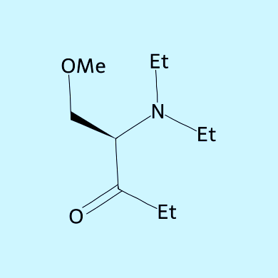 CCC(=O)[C@@H](COC)N(CC)CC